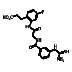 N=C(N)Nc1cccc(C(=O)NCC(=O)Nc2cc(F)ccc2CCC(=O)O)c1